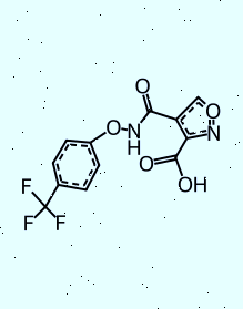 O=C(NOc1ccc(C(F)(F)F)cc1)c1conc1C(=O)O